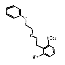 CCCCCCCCc1cccc([C](C)C)c1CCOCCOc1ccccc1